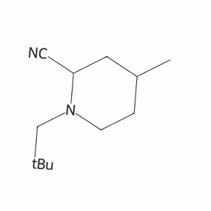 CC1CCN(CC(C)(C)C)C(C#N)C1